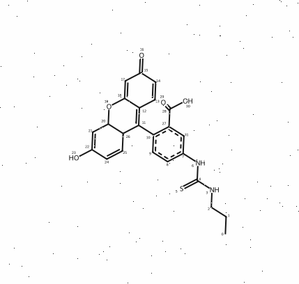 CCCNC(=S)Nc1ccc(C2=C3C=CC(=O)C=C3OC3C=C(O)C=CC23)c(C(=O)O)c1